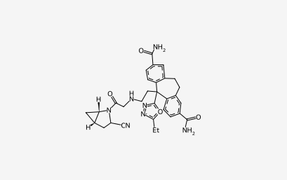 CCc1nnc(C2(CCNCC(=O)N3C(C#N)C[C@@H]4C[C@@H]43)c3ccc(C(N)=O)cc3CCc3cc(C(N)=O)ccc32)o1